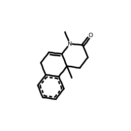 CN1C(=O)CCC2(C)C1=CCc1ccccc12